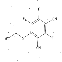 CC(C)CSc1c(F)c(F)c(C#N)c(F)c1C#N